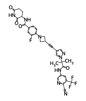 CC(C)(C(=O)Nc1cnc(C#N)c(C(F)(F)F)c1)n1cc(C#CC2CN(c3ccc(C(=O)NC4CCC(=O)NC4=O)cc3F)C2)cn1